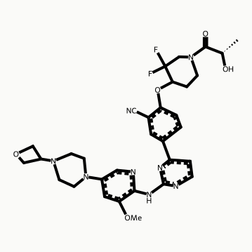 COc1cc(N2CCN(C3COC3)CC2)cnc1Nc1nccc(-c2ccc(OC3CCN(C(=O)[C@H](C)O)CC3(F)F)c(C#N)c2)n1